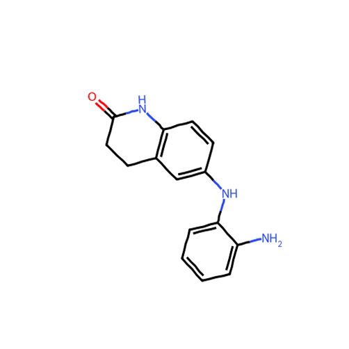 Nc1ccccc1Nc1ccc2c(c1)CCC(=O)N2